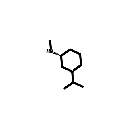 CN[C@@H]1CCCN(C(C)C)C1